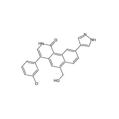 O=c1[nH]cc(-c2cccc(Cl)c2)c2cc(CO)c3ccc(-c4cn[nH]c4)cc3c12